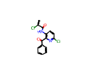 C=C(Cl)C(=O)Nc1ccc(Cl)nc1C(=O)c1ccccc1